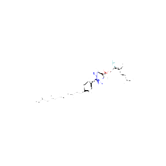 CCCCCCCCCCCCc1ccc(-c2ncc(OCC(F)C(C)CCCC)cn2)cc1